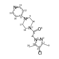 Cc1nn(CC(=O)N2CCN(c3ccncc3)CC2)c(C)c1Cl